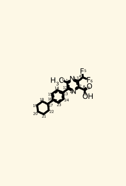 Cc1nc(C(F)F)c(C(=O)O)nc1-c1ccc(C2CCCCC2)cc1